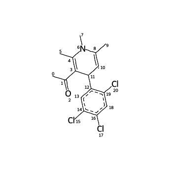 CC(=O)C1=C(C)N(C)C(C)=[C]C1c1cc(Cl)c(Cl)cc1Cl